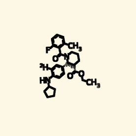 [2H]c1cc([C@H]2[C@@H](C(=O)OCC)CCCN2C(=O)c2c(C)cccc2F)ccc1NC1CCCC1